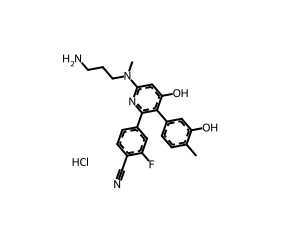 Cc1ccc(-c2c(O)cc(N(C)CCCN)nc2-c2ccc(C#N)c(F)c2)cc1O.Cl